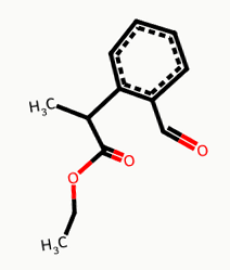 CCOC(=O)C(C)c1ccccc1C=O